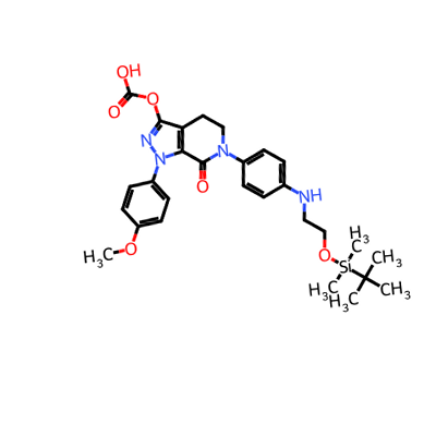 COc1ccc(-n2nc(OC(=O)O)c3c2C(=O)N(c2ccc(NCCO[Si](C)(C)C(C)(C)C)cc2)CC3)cc1